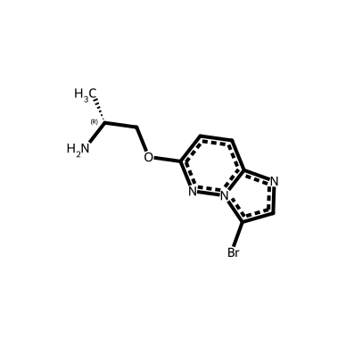 C[C@@H](N)COc1ccc2ncc(Br)n2n1